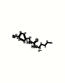 [CH2][C@@H](CCCC)NC(=O)NCc1ccc(Br)cc1